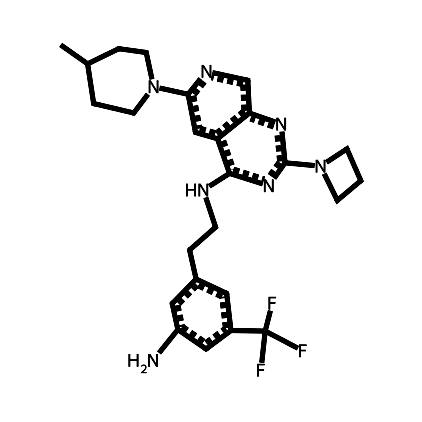 CC1CCN(c2cc3c(NCCc4cc(N)cc(C(F)(F)F)c4)nc(N4CCC4)nc3cn2)CC1